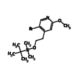 COc1cc(CCO[Si](C)(C)C(C)(C)C)c(Br)cn1